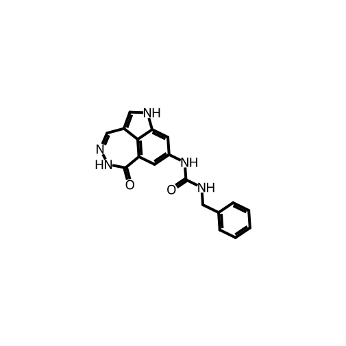 O=C(NCc1ccccc1)Nc1cc2c3c(c[nH]c3c1)C=NNC2=O